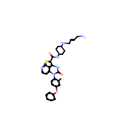 Cc1cc(Oc2ccccc2)ccc1N1C(=O)Nc2c(C(=O)NC3CCC(NC/C=C/CN)CC3)sc3nccc1c23